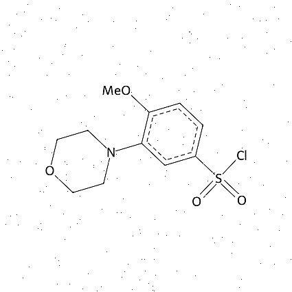 COc1ccc(S(=O)(=O)Cl)cc1N1CCOCC1